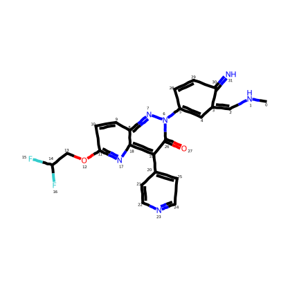 CN/C=C1/C=C(n2nc3ccc(OCC(F)F)nc3c(-c3ccncc3)c2=O)C=CC1=N